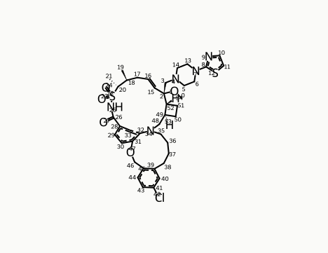 CO[C@@]1(CN2CCN(c3nccs3)CC2)/C=C/C[C@H](C)[C@@H](C)S(=O)(=O)NC(=O)c2ccc3c(c2)N(CCCCc2cc(Cl)ccc2CO3)C[C@@H]2CC[C@H]21